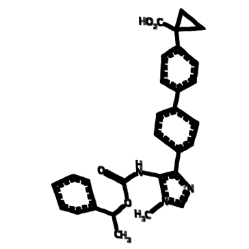 CC(OC(=O)Nc1c(-c2ccc(-c3ccc(C4(C(=O)O)CC4)cc3)cc2)ncn1C)c1ccccc1